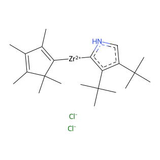 CC1=C(C)C(C)(C)[C]([Zr+2][c]2[nH]cc(C(C)(C)C)c2C(C)(C)C)=C1C.[Cl-].[Cl-]